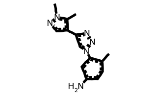 Cc1ccc(N)cc1-n1cc(-c2cnn(C)c2C)nn1